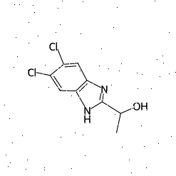 CC(O)c1nc2cc(Cl)c(Cl)cc2[nH]1